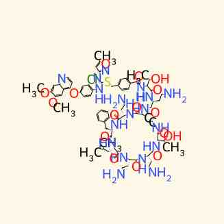 COc1cc2nccc(Oc3ccc(N/C(=N/c4cc(C)on4)SCc4ccc(C(=O)N[C@H](C(=O)N[C@@H](CCN)C(=O)N[C@H]5CCNC(=O)[C@H]([C@@H](C)O)NC(=O)[C@H](CCN)NC(=O)[C@H](CCN)NC(=O)[C@H](CC(C)C)NC(=O)[C@@H](Cc6ccccc6)NC(=O)[C@H](CCN)NC5=O)[C@@H](C)O)cc4)c(Cl)c3)c2cc1OC